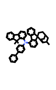 CC1C=C2CC(CCC23c2ccccc2-c2c(N(c4ccc(-c5ccccc5)cc4)c4cccc5c4C(C)(C)c4ccccc4-5)cccc23)C1